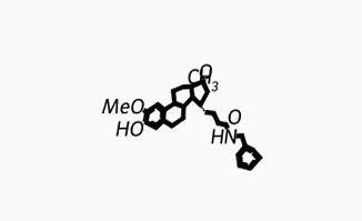 COc1cc2c(cc1O)CCC1C2CC[C@]2(C)C(=O)C[C@H](CCCC(=O)NCc3ccccc3)C12